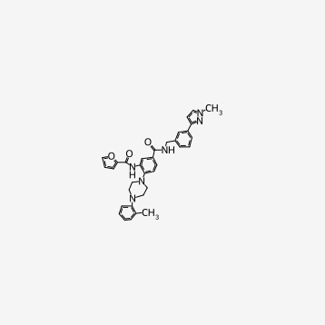 Cc1ccccc1N1CCN(c2ccc(C(=O)NCc3cccc(-c4ccn(C)n4)c3)cc2NC(=O)c2ccco2)CC1